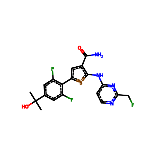 CC(C)(O)c1cc(F)c(-c2cc(C(N)=O)c(Nc3ccnc(CF)n3)s2)c(F)c1